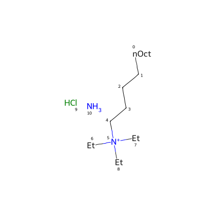 CCCCCCCCCCCC[N+](CC)(CC)CC.Cl.N